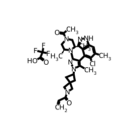 C=CC(=O)N1CC2(CC(n3nc(N4[C@H](C)CN(C(C)=O)C[C@@H]4C)c(-c4c(Cl)c(C)cc5[nH]ncc45)c3C)C2)C1.O=C(O)C(F)(F)F